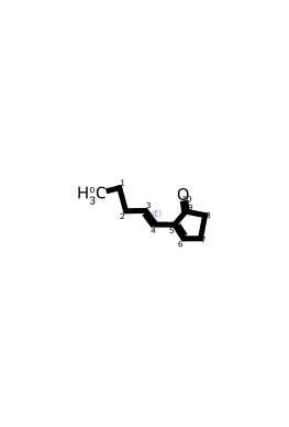 CCC/C=C/C1=CCCC1=O